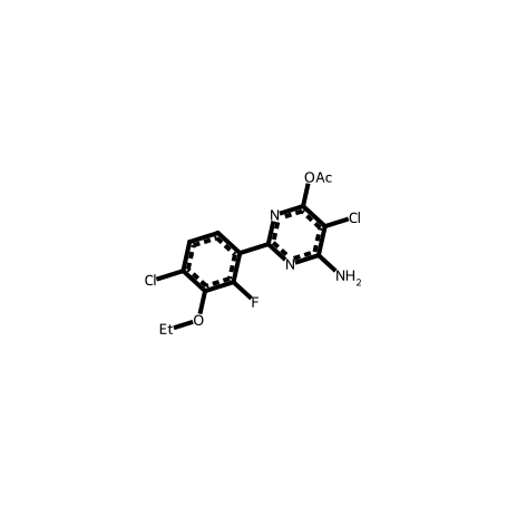 CCOc1c(Cl)ccc(-c2nc(N)c(Cl)c(OC(C)=O)n2)c1F